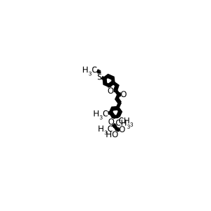 CCSc1ccc2cc(C(=O)/C=C/c3cc(C)c(OC(C)(C)C(=O)O)c(C)c3)oc2c1